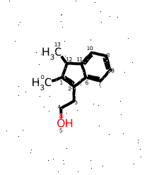 CC1=C(CCO)c2ccccc2C1C